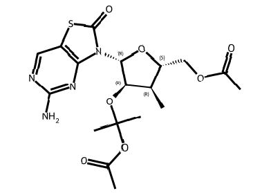 CC(=O)OC[C@H]1O[C@@H](n2c(=O)sc3cnc(N)nc32)[C@H](OC(C)(C)OC(C)=O)[C@@H]1C